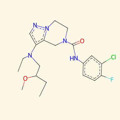 CCC(CN(CC)c1cnn2c1CN(C(=O)Nc1ccc(F)c(Cl)c1)CC2)OC